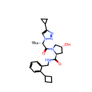 CC(C)(C)[C@@H](C(=O)N1C[C@H](O)C[C@H]1C(=O)NCc1ccccc1C1CCC1)n1cc(C2CC2)nn1